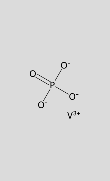 O=P([O-])([O-])[O-].[V+3]